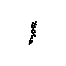 Cn1cnc(COCC(=O)c2ccc(-c3noc(C(F)(F)Cl)n3)cc2)c1